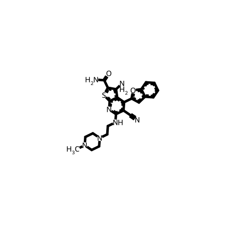 CN1CCN(CCNc2nc3sc(C(N)=O)c(N)c3c(-c3cc4ccccc4o3)c2C#N)CC1